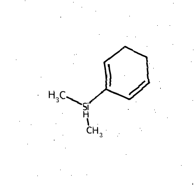 C[SiH](C)C1=CCCC=C1